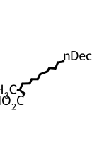 CCCCCCCCCCCCCCCCCCCCC(C)CC(=O)O